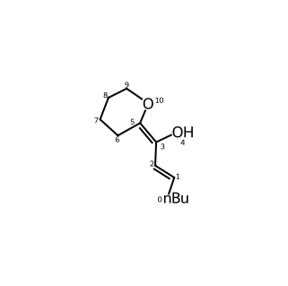 CCCCC=CC(O)=C1CCCCO1